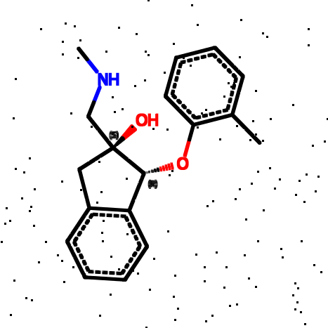 CNC[C@@]1(O)Cc2ccccc2[C@H]1Oc1ccccc1C